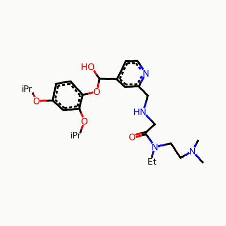 CCN(CCN(C)C)C(=O)CNCc1cc(C(O)Oc2ccc(OC(C)C)cc2OC(C)C)ccn1